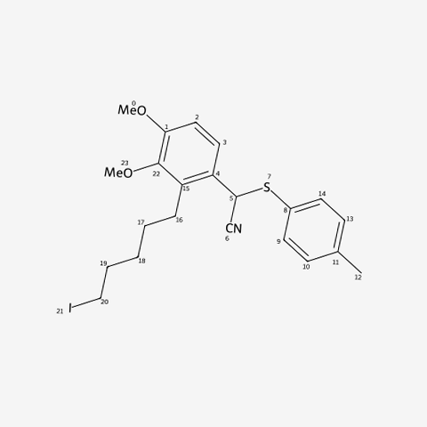 COc1ccc(C(C#N)Sc2ccc(C)cc2)c(CCCCCI)c1OC